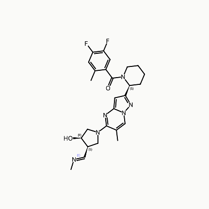 C/N=C/[C@@H]1CN(c2nc3cc([C@@H]4CCCCN4C(=O)c4cc(F)c(F)cc4C)nn3cc2C)C[C@@H]1O